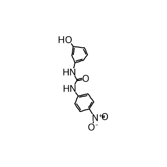 O=C(Nc1ccc([N+](=O)[O-])cc1)Nc1cccc(O)c1